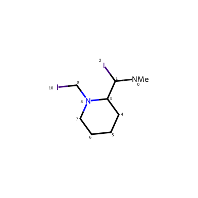 CNC(I)C1CCCCN1CI